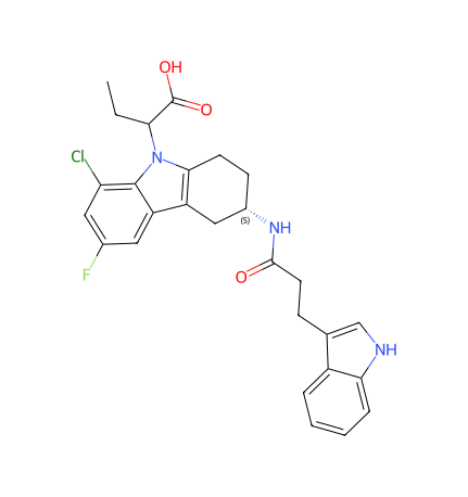 CCC(C(=O)O)n1c2c(c3cc(F)cc(Cl)c31)C[C@@H](NC(=O)CCc1c[nH]c3ccccc13)CC2